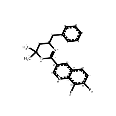 CC1(C)CC(Cc2ccccc2)N=C(c2cnc3c(F)c(F)ccc3c2)O1